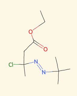 CCOC(=O)CC(C)(Cl)N=NC(C)(C)C